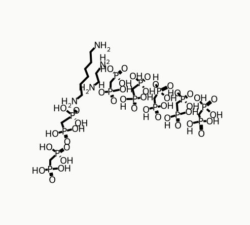 NCCCCCCN.NCCN.O=P(O)(O)CP(=O)(O)O.O=P(O)(O)CP(=O)(O)O.O=P(O)(O)CP(=O)(O)O.O=P(O)(O)CP(=O)(O)O.O=P(O)(O)CP(=O)(O)O.O=P(O)(O)CP(=O)(O)O.O=P(O)(O)CP(=O)(O)O